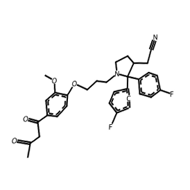 COc1cc(C(=O)CC(C)=O)ccc1OCCCN1CCC(CC#N)C1(c1ccc(F)cc1)c1ccc(F)cc1